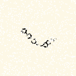 CCCC(C(=O)NC=O)N1Cc2cc(CNCC3CCN(c4ccc(-c5cccc(C)c5)nc4)CC3)ccc2C1=O